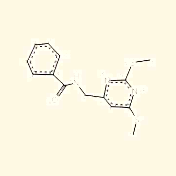 CSc1cc(CNC(=O)c2ccccc2)nc(SC)n1